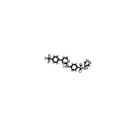 O=S(=O)(Nn1cnnc1)c1ccc(Nc2nccc(-c3ccc(C(F)(F)F)cc3)n2)cc1